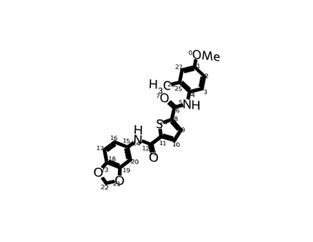 COc1ccc(NC(=O)c2ccc(C(=O)Nc3ccc4c(c3)OCO4)s2)c(C)c1